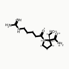 N=C(N)NCCC[CH]C(=O)N1CCC[C@@]1(CO)C(N)=O